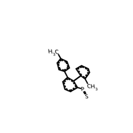 Cc1ccc(-c2cccc(P=S)c2-c2ccccc2C)cc1